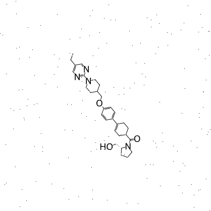 CCc1cnc(N2CCC(COc3ccc(C4=CCC(C(=O)N5CCC[C@@H]5CO)CC4)cc3)CC2)nc1